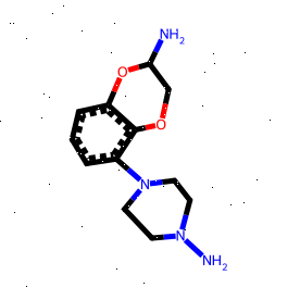 NC1COc2c(cccc2N2CCN(N)CC2)O1